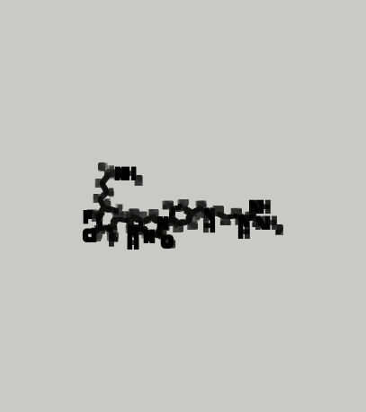 C[C@H](N)CCCc1cc(-c2cc3cn(-c4ccc(CNCCCNC(=N)N)cc4)c(=O)nc3[nH]2)c(F)c(Cl)c1F